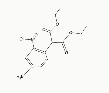 Bc1ccc(C(C(=O)OCC)C(=O)OCC)c([N+](=O)[O-])c1